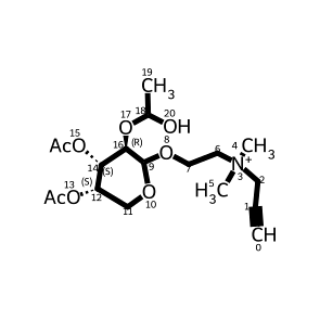 C#CC[N+](C)(C)CCOC1OC[C@H](OC(C)=O)[C@H](OC(C)=O)[C@H]1OC(C)O